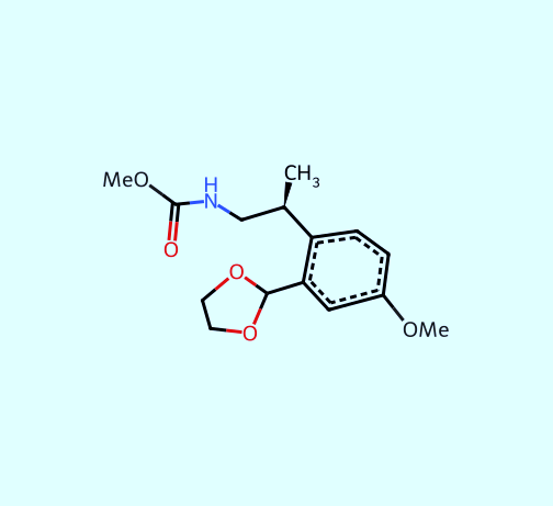 COC(=O)NC[C@@H](C)c1ccc(OC)cc1C1OCCO1